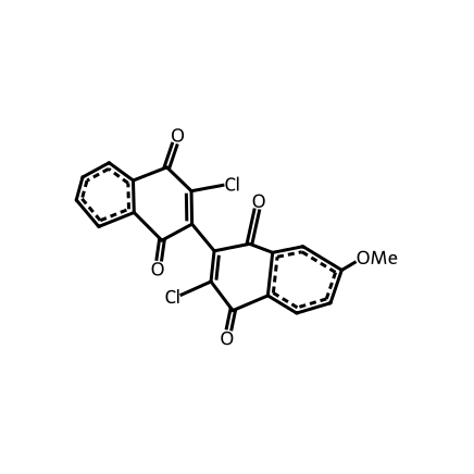 COc1ccc2c(c1)C(=O)C(C1=C(Cl)C(=O)c3ccccc3C1=O)=C(Cl)C2=O